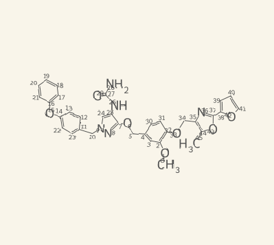 COc1cc(COc2nn(Cc3ccc(Oc4ccccc4)cc3)cc2NC(N)=O)ccc1OCc1nc(-c2ccco2)oc1C